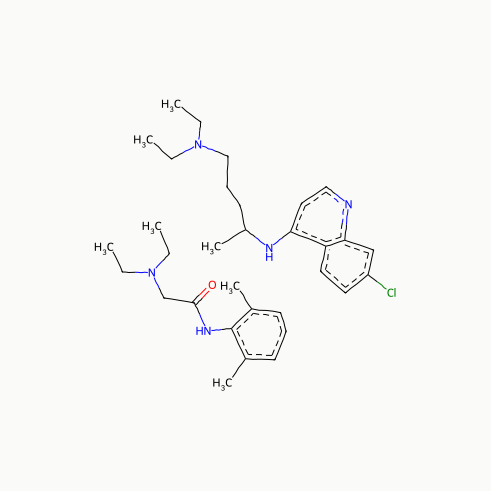 CCN(CC)CC(=O)Nc1c(C)cccc1C.CCN(CC)CCCC(C)Nc1ccnc2cc(Cl)ccc12